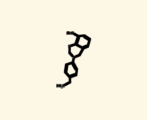 COc1cccc2c1OCN(c1ccc(CC(=O)O)cc1)C2